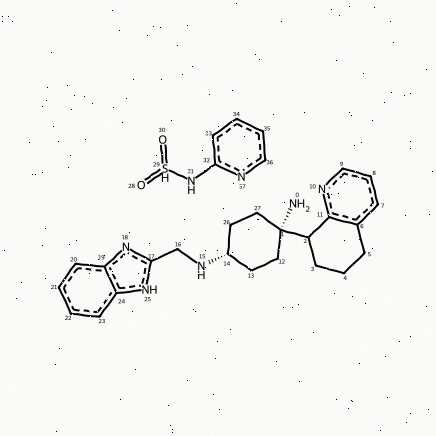 N[C@]1(C2CCCc3cccnc32)CC[C@H](NCc2nc3ccccc3[nH]2)CC1.O=[SH](=O)Nc1ccccn1